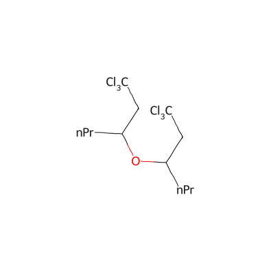 CCCC(CC(Cl)(Cl)Cl)OC(CCC)CC(Cl)(Cl)Cl